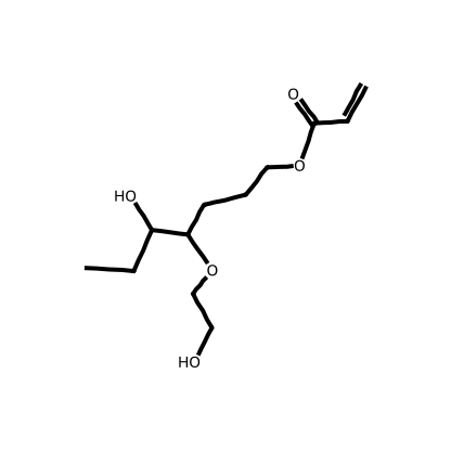 C=CC(=O)OCCCC(OCCO)C(O)CC